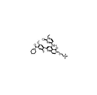 CCn1ccc(Nc2cc(-c3cc(OC)c(C(=O)N4CCCCC4)cc3F)nc3ccn(COCC[Si](C)(C)C)c(=O)c23)nc1=O